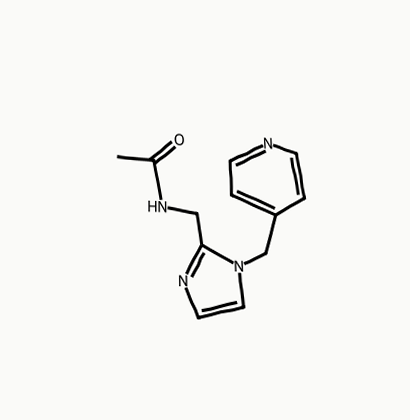 CC(=O)NCc1nccn1Cc1ccncc1